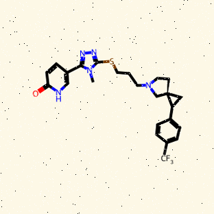 Cn1c(SCCCN2CC[C@]3(CC3c3ccc(C(F)(F)F)cc3)C2)nnc1-c1ccc(=O)[nH]c1